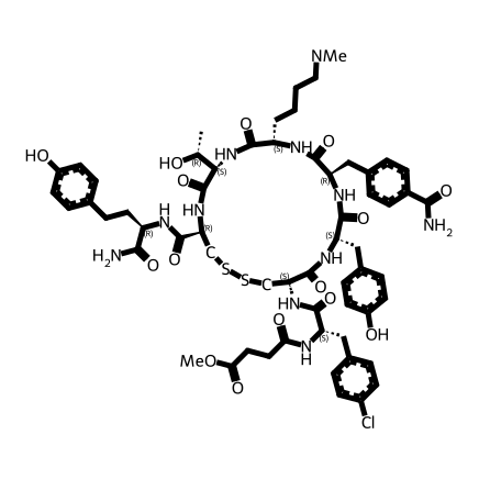 CNCCCC[C@@H]1NC(=O)[C@@H](Cc2ccc(C(N)=O)cc2)NC(=O)[C@H](Cc2ccc(O)cc2)NC(=O)[C@H](NC(=O)[C@H](Cc2ccc(Cl)cc2)NC(=O)CCC(=O)OC)CSSC[C@@H](C(=O)N[C@H](CCc2ccc(O)cc2)C(N)=O)NC(=O)[C@H]([C@@H](C)O)NC1=O